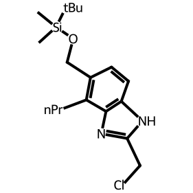 CCCc1c(CO[Si](C)(C)C(C)(C)C)ccc2[nH]c(CCl)nc12